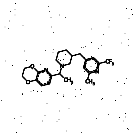 Cc1cc(CC2CCCN(C(C)c3ccc4c(n3)OCCO4)C2)cc(C(F)(F)F)n1